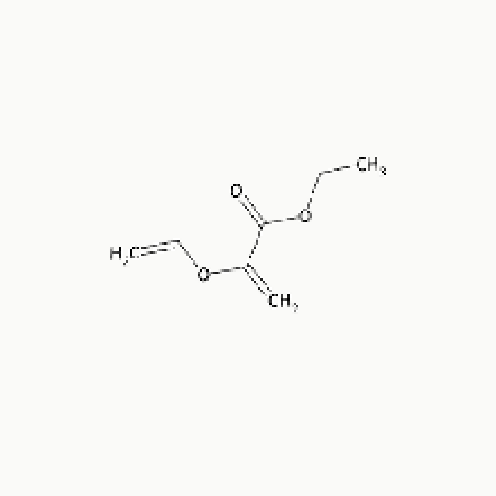 C=COC(=C)C(=O)OCC